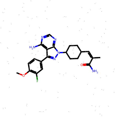 COc1ccc(-c2nn(C3CCC(C=C(C)C(N)=O)CC3)c3ncnc(N)c23)cc1F